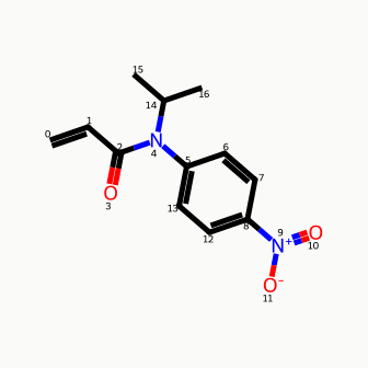 C=CC(=O)N(c1ccc([N+](=O)[O-])cc1)C(C)C